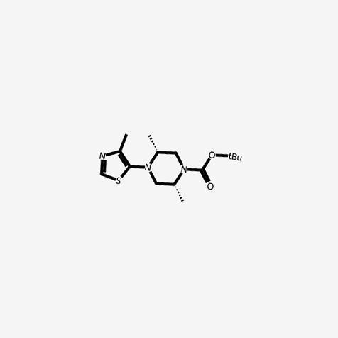 Cc1ncsc1N1C[C@@H](C)N(C(=O)OC(C)(C)C)C[C@H]1C